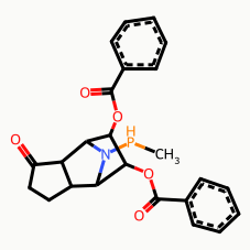 CPN1C2C3CCC(=O)C3C1C(OC(=O)c1ccccc1)C2OC(=O)c1ccccc1